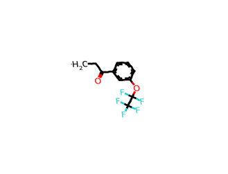 [CH2]CC(=O)c1cccc(OC(F)(F)C(F)(F)F)c1